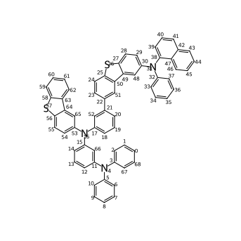 c1ccc(N(c2ccccc2)c2cccc(N(c3cccc(-c4ccc5sc6ccc(N(c7ccccc7)c7cccc8ccccc78)cc6c5c4)c3)c3ccc4sc5ccccc5c4c3)c2)cc1